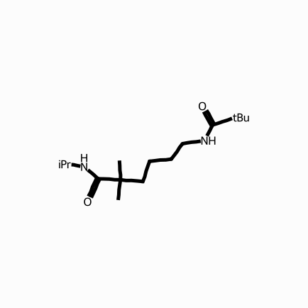 CC(C)NC(=O)C(C)(C)CCCCNC(=O)C(C)(C)C